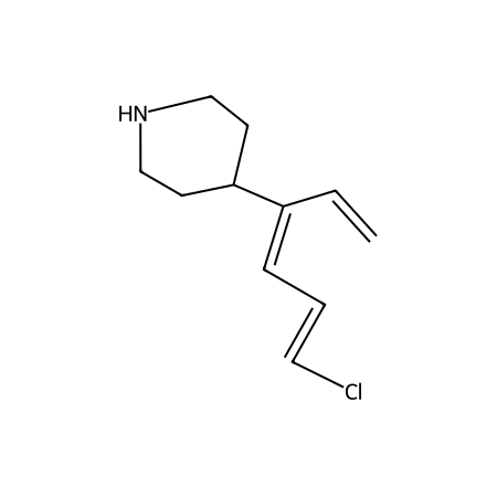 C=C/C(=C\C=C\Cl)C1CCNCC1